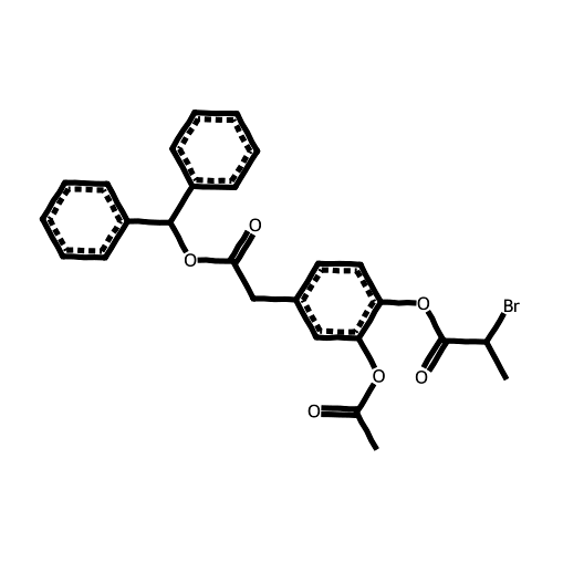 CC(=O)Oc1cc(CC(=O)OC(c2ccccc2)c2ccccc2)ccc1OC(=O)C(C)Br